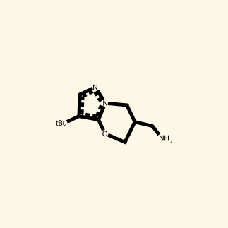 CC(C)(C)c1cnn2c1OCC(CN)C2